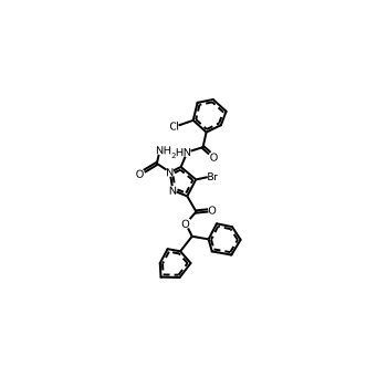 NC(=O)n1nc(C(=O)OC(c2ccccc2)c2ccccc2)c(Br)c1NC(=O)c1ccccc1Cl